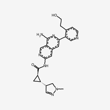 CN1CC([C@@H]2C[C@H]2C(=O)Nc2cc3cc(-c4cnccc4CCO)nc(N)c3cn2)C=N1